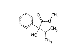 COC(=O)C(O)(c1ccccc1)C(C)C